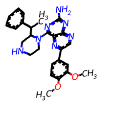 COc1ccc(-c2cnc3nc(N)nc(N4CCNCC4C(C)c4ccccc4)c3n2)cc1OC